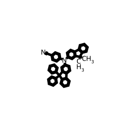 CC1(C)c2ccccc2-c2ccc(N(c3ccc(C#N)cc3)c3ccc4c(c3)C(c3ccccc3)(c3ccccc3)c3ccccc3-4)cc21